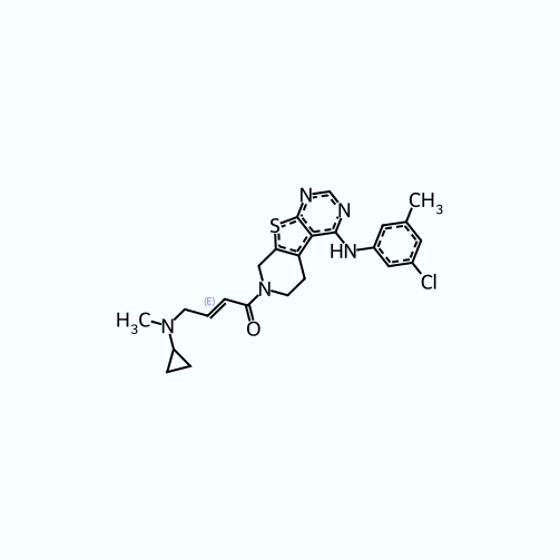 Cc1cc(Cl)cc(Nc2ncnc3sc4c(c23)CCN(C(=O)/C=C/CN(C)C2CC2)C4)c1